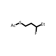 CCC(F)CCSC(C)=O